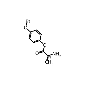 CCOc1ccc(OC(=O)[C@H](C)N)cc1